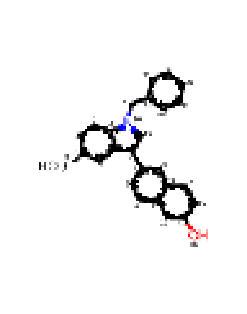 O=C(O)c1ccc2c(c1)c(-c1ccc3cc(O)ccc3c1)cn2Cc1ccccc1